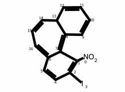 O=[N+]([O-])c1c(I)ccc2c1=C1C=CC=CC1C=CC=2